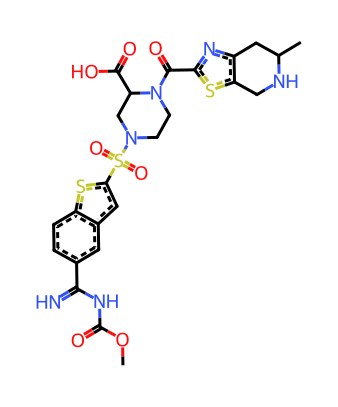 COC(=O)NC(=N)c1ccc2sc(S(=O)(=O)N3CCN(C(=O)c4nc5c(s4)CNC(C)C5)C(C(=O)O)C3)cc2c1